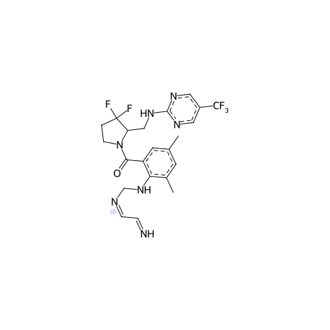 Cc1cc(C)c(NC/N=C\C=N)c(C(=O)N2CCC(F)(F)C2CNc2ncc(C(F)(F)F)cn2)c1